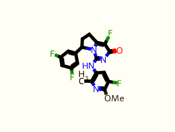 COc1nc(C)c(Nc2nc(=O)c(F)c3n2C(c2cc(F)cc(F)c2)CC3)cc1F